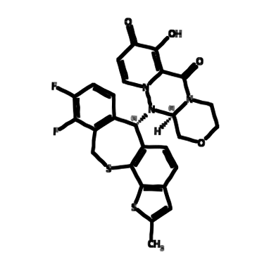 Cc1cc2ccc3c(c2s1)SCc1c(ccc(F)c1F)[C@@H]3N1[C@@H]2COCCN2C(=O)c2c(O)c(=O)ccn21